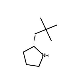 CC(C)(C)C[C@H]1CCCN1